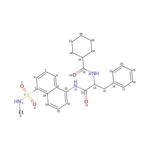 CCNS(=O)(=O)c1cccc2c(NC(=O)C(Cc3ccccc3)NC(=O)C3CCCCC3)cccc12